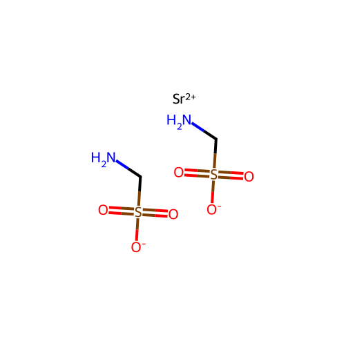 NCS(=O)(=O)[O-].NCS(=O)(=O)[O-].[Sr+2]